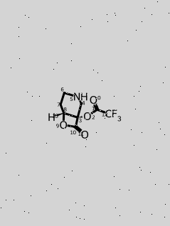 O=C(O[C@@]12CNCC[C@H]1OC2=O)C(F)(F)F